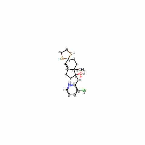 C[C@]12CCC3(C=C1CC[C@@]2(O)Cc1ncccc1Br)SCCS3